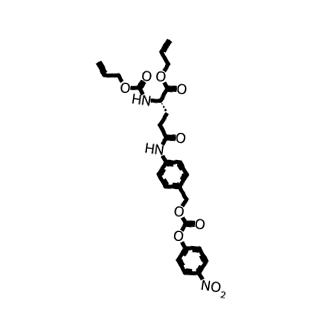 C=CCOC(=O)N[C@@H](CCC(=O)Nc1ccc(COC(=O)Oc2ccc([N+](=O)[O-])cc2)cc1)C(=O)OCC=C